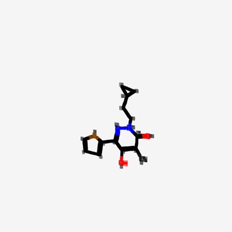 N#Cc1c(O)c(-c2cccs2)nn(CCC2CC2)c1=O